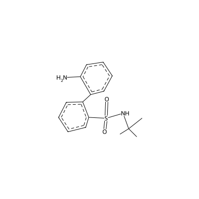 CC(C)(C)NS(=O)(=O)c1ccccc1-c1ccccc1N